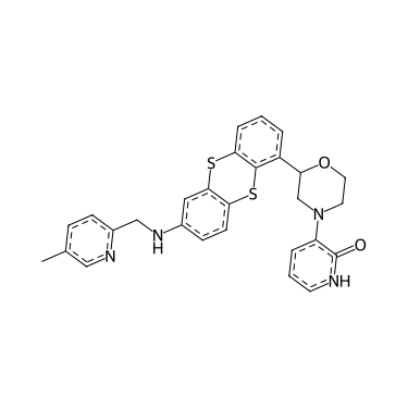 Cc1ccc(CNc2ccc3c(c2)Sc2cccc(C4CN(c5ccc[nH]c5=O)CCO4)c2S3)nc1